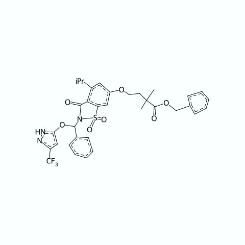 CC(C)c1cc(OCCC(C)(C)C(=O)OCc2ccccc2)cc2c1C(=O)N(C(Oc1cc(C(F)(F)F)n[nH]1)c1ccccc1)S2(=O)=O